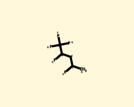 CC(F)C[C](F)C(F)(F)F